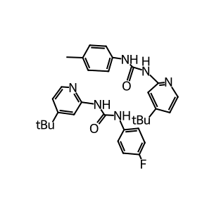 CC(C)(C)c1ccnc(NC(=O)Nc2ccc(F)cc2)c1.Cc1ccc(NC(=O)Nc2cc(C(C)(C)C)ccn2)cc1